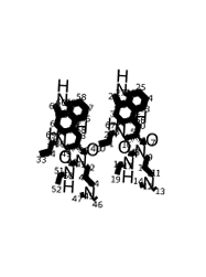 C=CCN1C[C@H](C(=O)N(CCCN(C)C)C(=O)NCC)C[C@@H]2c3cccc4[nH]cc(c34)C[C@H]21.C=CCN1C[C@H](C(=O)N(CCCN(C)C)C(=O)NCC)C[C@@H]2c3cccc4[nH]cc(c34)C[C@H]21